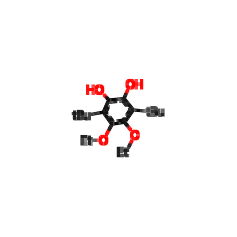 CCOc1c(OCC)c(C(C)(C)C)c(O)c(O)c1C(C)(C)C